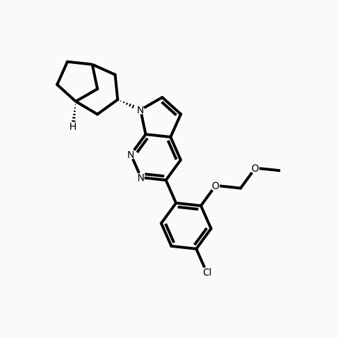 COCOc1cc(Cl)ccc1-c1cc2ccn([C@H]3CC4CC[C@@H](C4)C3)c2nn1